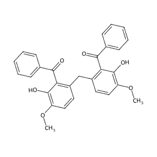 COc1ccc(Cc2ccc(OC)c(O)c2C(=O)c2ccccc2)c(C(=O)c2ccccc2)c1O